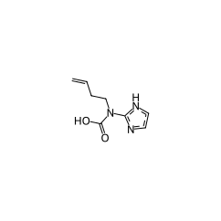 C=CCCN(C(=O)O)c1ncc[nH]1